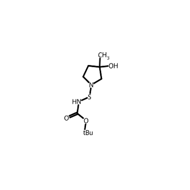 CC1(O)CCN(SNC(=O)OC(C)(C)C)C1